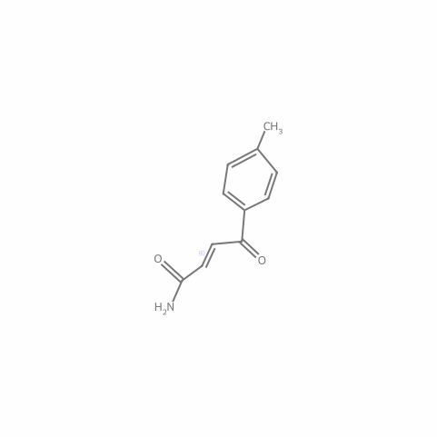 Cc1ccc(C(=O)/C=C/C(N)=O)cc1